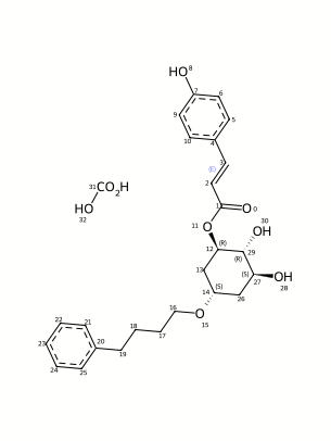 O=C(/C=C/c1ccc(O)cc1)O[C@@H]1C[C@@H](OCCCCc2ccccc2)C[C@H](O)[C@H]1O.O=C(O)O